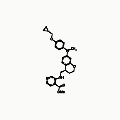 COC(=O)c1ccncc1NC[C@@H]1CCOc2cc(N(C)c3ccc(OCC4CC4)cc3)ccc21